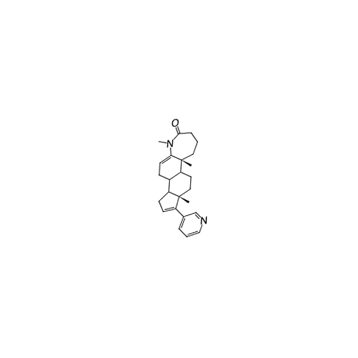 CN1C(=O)CCC[C@@]2(C)C1=CCC1C2CC[C@]2(C)C(c3cccnc3)=CCC12